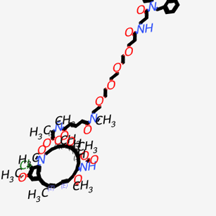 COc1cc2cc(c1Cl)N(C)C(=O)C[C@H](OC(=O)[C@H](C)N(C)C(=O)CCCC(=O)N(C)CCOCCOCCOCCOCCC(=O)NCCC(=O)N1Cc3ccccc3C#Cc3ccccc31)[C@]1(C)O[C@H]1[C@H](C)[C@@H]1CC(NC(=O)O1)C(OC)/C=C/C=C(/C)C2